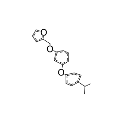 CC(C)c1ccc(Oc2cccc(OCc3ccco3)c2)cc1